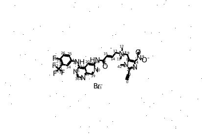 C#Cc1nc([N+](=O)[O-])c(C[N+](C)(C)C/C=C/C(=O)Nc2cc3c(Nc4ccc(F)c(C(F)(F)F)c4)ncnc3cn2)n1C.[Br-]